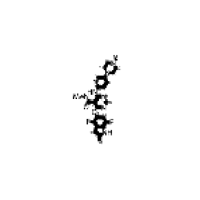 CNC(=O)c1c(Nc2ccc(N3CCN(C)CC3)cn2)ncnc1Oc1cc(F)c2[nH]c(C)cc2c1F